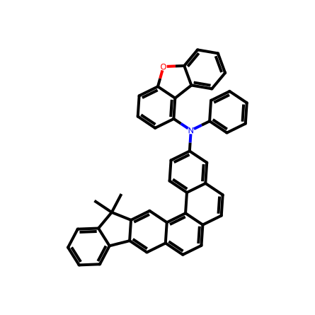 CC1(C)c2ccccc2-c2cc3ccc4ccc5cc(N(c6ccccc6)c6cccc7oc8ccccc8c67)ccc5c4c3cc21